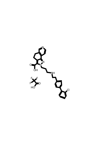 O=C(O)C(F)(F)F.O=C(O)c1c2c(nn1CCCNCCc1ccc(-c3ccccc3Cl)cc1)-c1ccncc1CC2